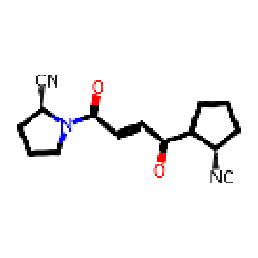 [C-]#[N+][C@@H]1CCCC1C(=O)/C=C/C(=O)N1CCC[C@H]1C#N